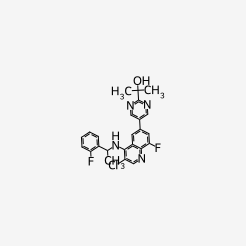 CC(Nc1c(Cl)cnc2c(F)cc(-c3cnc(C(C)(C)O)nc3)cc12)c1ccccc1F